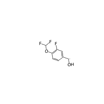 O[CH]c1ccc(OC(F)F)c(F)c1